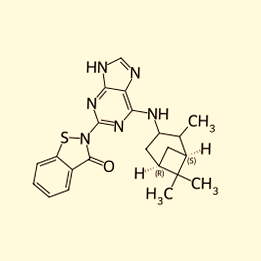 CC1C(Nc2nc(-n3sc4ccccc4c3=O)nc3[nH]cnc23)C[C@H]2C[C@@H]1C2(C)C